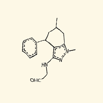 CC1Cc2c(c(NCC=O)nn2C)C(c2ccccc2)C1